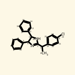 CC(C1=NC(c2ccccc2)C(c2ccccc2)N1)c1ccc(Cl)cc1